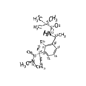 CC(N[S@+]([O-])C(C)(C)C)c1cccc(C(F)(F)C(=O)N(C)C)c1F